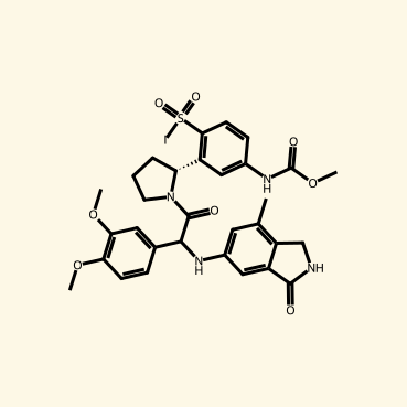 COC(=O)Nc1ccc(S(=O)(=O)I)c([C@H]2CCCN2C(=O)C(Nc2cc(C)c3c(c2)C(=O)NC3)c2ccc(OC)c(OC)c2)c1